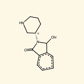 O=C1c2ccccc2C(O)N1[C@H]1CCCNC1